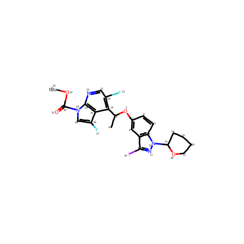 CC(Oc1ccc2c(c1)c(I)nn2C1CCCCO1)c1c(F)cnc2c1c(F)cn2C(=O)OC(C)(C)C